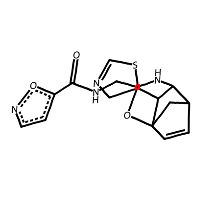 O=C(NCC1NC2C3C=CC(C3)(O1)C2C1CN=CS1)c1ccno1